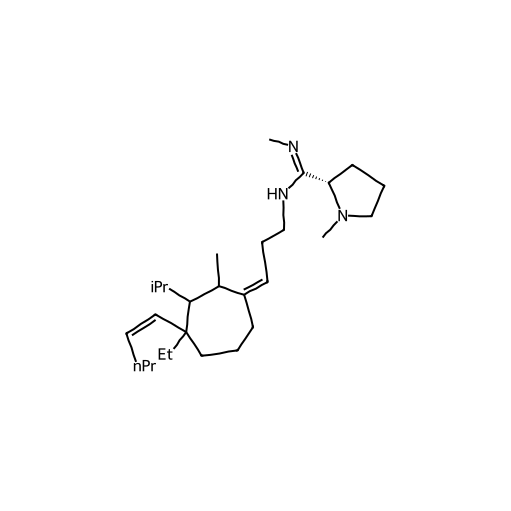 CCC/C=C\C1(CC)CCC/C(=C/CCN/C(=N\C)[C@@H]2CCCN2C)C(C)C1C(C)C